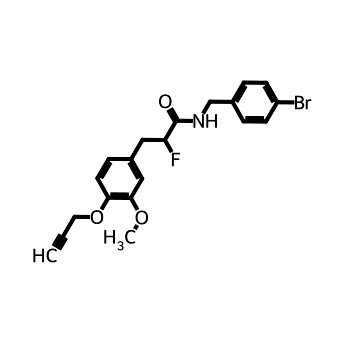 C#CCOc1ccc(CC(F)C(=O)NCc2ccc(Br)cc2)cc1OC